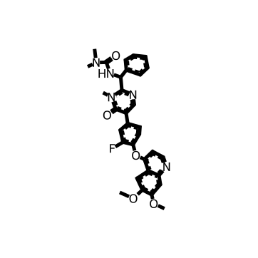 COc1cc2nccc(Oc3ccc(-c4cnc(C(NC(=O)N(C)C)c5ccccc5)n(C)c4=O)cc3F)c2cc1OC